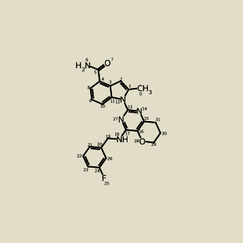 Cc1cc2c(C(N)=O)cccc2n1-c1nc2c(c(NCc3cccc(F)c3)n1)OCCC2